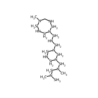 CN([SiH3])[SiH2]N(C)[SiH2]N1[SiH2]N[SiH2]N([SiH2]N[SiH2]N2[SiH2]NCN(C)[SiH2]N[SiH2]2)[SiH2]1